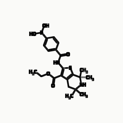 CCOC(=O)c1c(NC(=O)c2ccc(B(O)O)cc2)sc2c1CC(C)(C)NC2(C)C